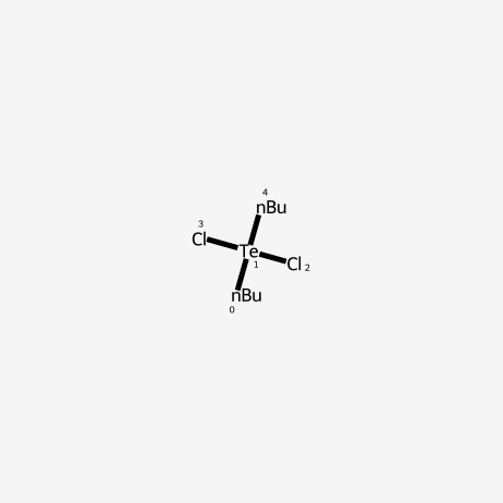 CCCC[Te](Cl)(Cl)CCCC